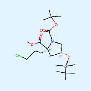 COC(=O)[C@]1(CCCCl)C[C@@H](O[Si](C)(C)C(C)(C)C)CN1C(=O)OC(C)(C)C